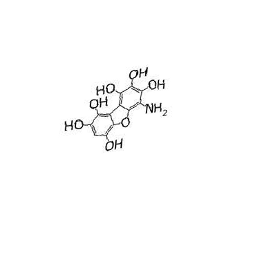 Nc1c(O)c(O)c(O)c2c1oc1c(O)cc(O)c(O)c12